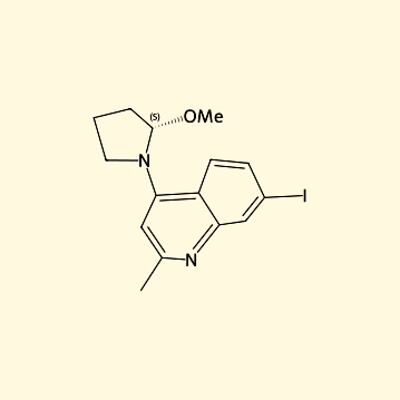 CO[C@H]1CCCN1c1cc(C)nc2cc(I)ccc12